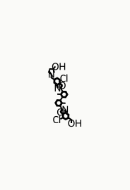 Cc1c(-c2nc3cc(CO)cc(Cl)c3o2)cccc1-c1cccc(-c2nc3cc(CN4CCC(O)C4)cc(Cl)c3o2)c1C